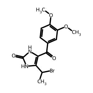 COc1ccc(C(=O)c2[nH]c(=O)[nH]c2C(C)Br)cc1OC